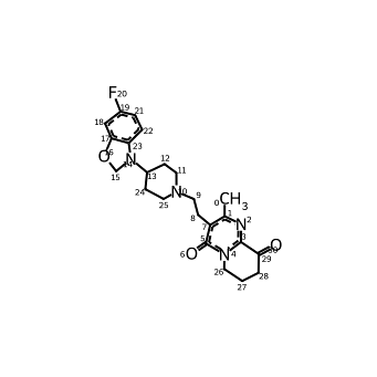 Cc1nc2n(c(=O)c1CCN1CCC(N3COc4cc(F)ccc43)CC1)CCCC2=O